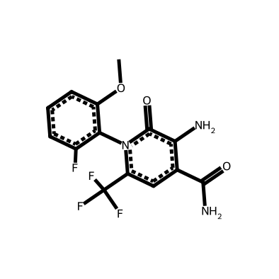 COc1cccc(F)c1-n1c(C(F)(F)F)cc(C(N)=O)c(N)c1=O